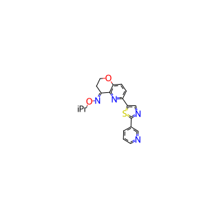 CC(C)O/N=C1\CCOc2ccc(-c3cnc(-c4cccnc4)s3)nc21